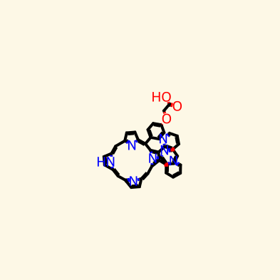 O=C(O)COc1ccc(-c2c3nc(cc4ccc(cc5nc(cc6c(-c7ccccn7)c(-c7ccccn7)c2n6-c2ccccn2)C=C5)[nH]4)C=C3)cc1